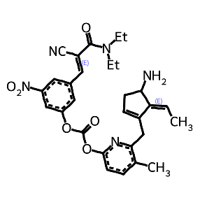 C/C=C1\C(Cc2nc(OC(=O)Oc3cc(/C=C(\C#N)C(=O)N(CC)CC)cc([N+](=O)[O-])c3)ccc2C)=CCC1N